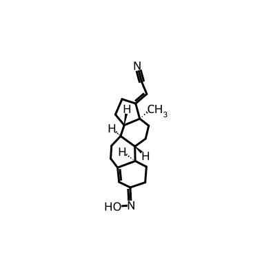 C[C@]12CC[C@H]3[C@@H](CCC4=CC(=NO)CC[C@@H]43)[C@@H]1CCC2=CC#N